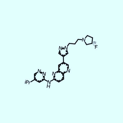 CC(C)c1cnnc(Nc2ccc3ncc(-c4cnn(CCCN5CC[C@H](F)C5)c4)cc3n2)c1